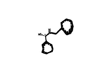 N#C[C@H](NCc1ccccc1)c1ccccc1